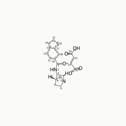 O=C(NC1CN2CC[C@H]1C2)c1ccc2ccsc2c1.O=C(O)/C=C/C(=O)O